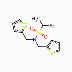 CC(=O)C(C)S(=O)(=O)N(Cc1cccs1)Cc1cccs1